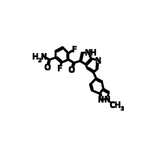 Cn1cc2cc(-c3cnc4[nH]cc(C(=O)c5c(F)ccc(C(N)=O)c5F)c4c3)ccc2n1